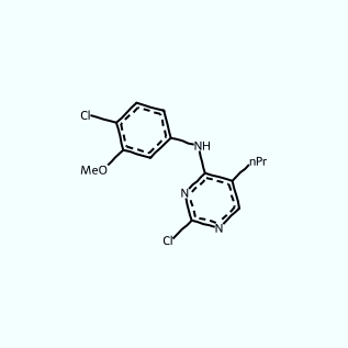 CCCc1cnc(Cl)nc1Nc1ccc(Cl)c(OC)c1